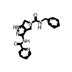 O=C(Nc1n[nH]c2c1CN(C(=O)NCc1ccccc1)C2)c1ccccn1